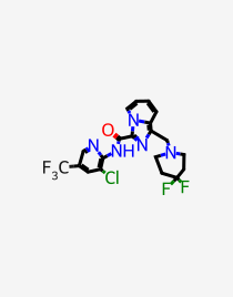 O=C(Nc1ncc(C(F)(F)F)cc1Cl)c1nc(CN2CCC(F)(F)CC2)c2ccccn12